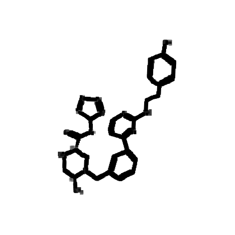 C[C@H]1CN[C@H](C(=O)NC2N=NN=N2)CN1Cc1cccc(-c2ccnc(NCCc3ccc(O)cc3)n2)c1